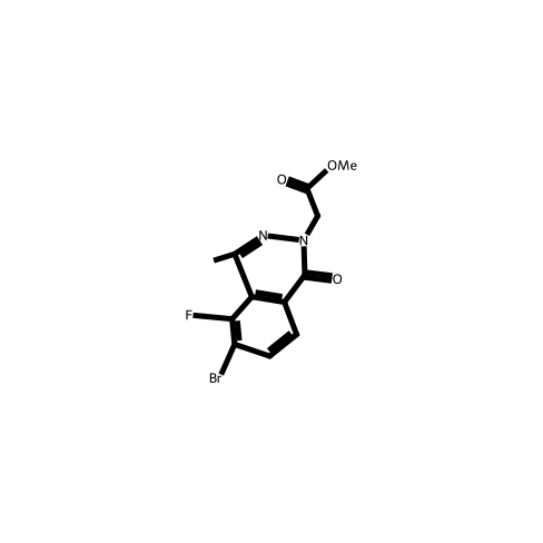 COC(=O)Cn1nc(C)c2c(F)c(Br)ccc2c1=O